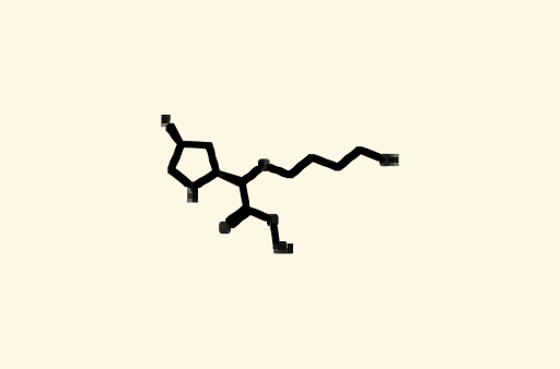 CC(C)(C)OC(=O)C(OCCCCO)[C@@H]1C[C@H](F)CN1